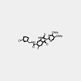 COc1cnc(-n2c(=S)[nH]c3cc(C(=O)NCc4cccc(Cl)c4)c(F)cc3c2=O)nc1OC